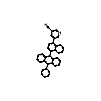 N#Cc1cncc(-c2ccc(-c3c4ccccc4c(-c4ccccc4)c4ccccc34)c3ccccc23)c1